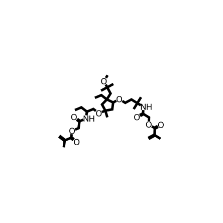 C=C(C)C(=O)OCC(=O)NC(CC)COC1(C)CC(OCCC(C)(C)NC(=O)COC(=O)C(=C)C)C(CC)(CC(C)(C)OC)C1